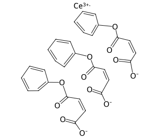 O=C([O-])/C=C\C(=O)Oc1ccccc1.O=C([O-])/C=C\C(=O)Oc1ccccc1.O=C([O-])/C=C\C(=O)Oc1ccccc1.[Ce+3]